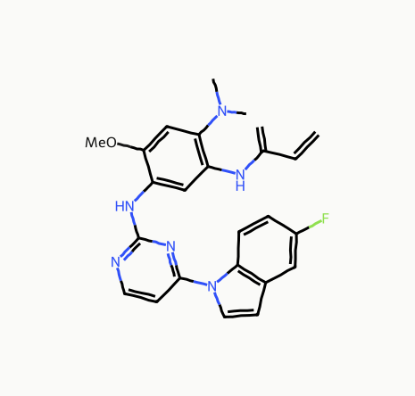 C=CC(=C)Nc1cc(Nc2nccc(-n3ccc4cc(F)ccc43)n2)c(OC)cc1N(C)C